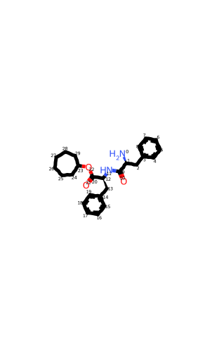 N[C@@H](Cc1ccccc1)C(=O)N[C@@H](Cc1ccccc1)C(=O)OC1CCCCCC1